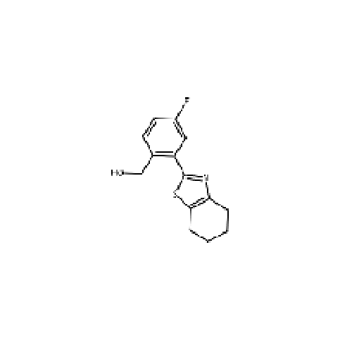 OCc1ccc(F)cc1-c1nc2c(s1)CCCC2